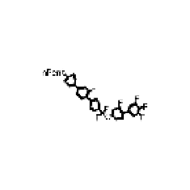 CCCCCc1ccc(-c2ccc(-c3ccc(C(F)(F)Oc4ccc(-c5cc(F)c(F)c(F)c5)c(F)c4)cc3)c(F)c2)cc1